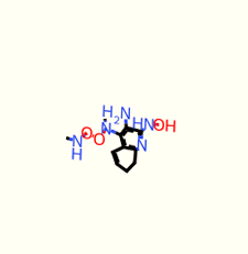 CNOON(C)c1c(N)c(NO)nc2c1C=CCC2